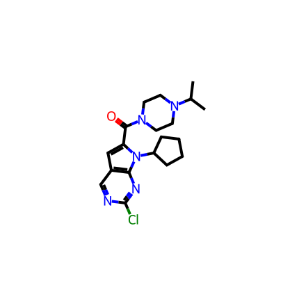 CC(C)N1CCN(C(=O)c2cc3cnc(Cl)nc3n2C2CCCC2)CC1